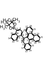 CC1(C)OB(c2ccc(-c3nc4ccccc4c4c5ccccc5c5ccccc5c34)c3ccccc23)OC1(C)C